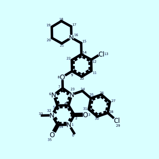 Cn1c(=O)c2c(nc(Oc3ccc(Cl)c(CN4CCCCC4)c3)n2Cc2ccc(Cl)cc2)n(C)c1=O